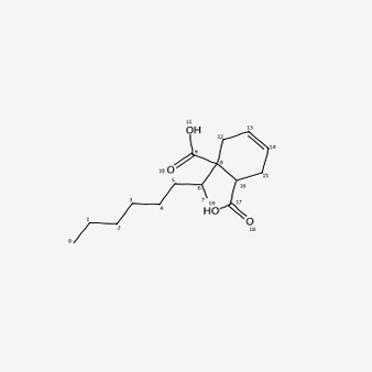 CCCCCCC(C)C1(C(=O)O)CC=CCC1C(=O)O